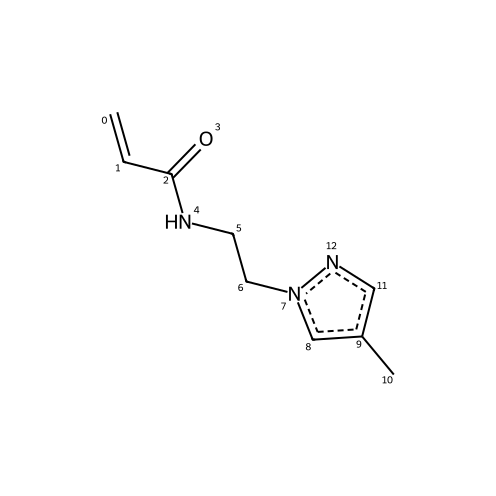 C=CC(=O)NCCn1cc(C)cn1